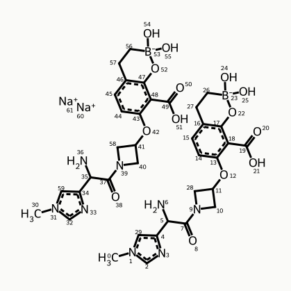 Cn1cnc(C(N)C(=O)N2CC(Oc3ccc4c(c3C(=O)O)O[B-](O)(O)CC4)C2)c1.Cn1cnc(C(N)C(=O)N2CC(Oc3ccc4c(c3C(=O)O)O[B-](O)(O)CC4)C2)c1.[Na+].[Na+]